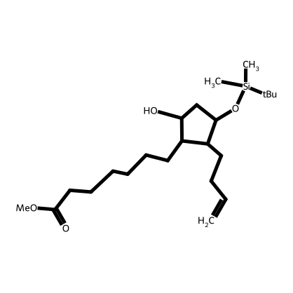 C=CCCC1C(O[Si](C)(C)C(C)(C)C)CC(O)C1CCCCCCC(=O)OC